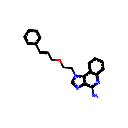 Nc1nc2ccccc2c2c1ncn2CCOCC=Cc1ccccc1